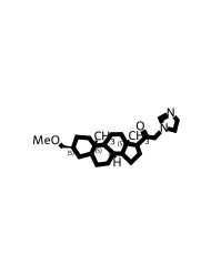 COC[C@H]1CC[C@@]2(C)C(CC[C@@H]3C2CC[C@]2(C)C(C(=O)CN4C=NCC4)CCC32)C1